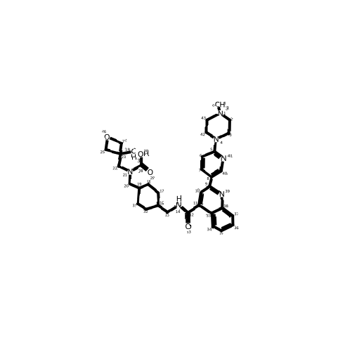 CN1CCN(c2ccc(-c3cc(C(=O)NCC4CCC(CN(CC5(C)COC5)C(=O)O)CC4)c4ccccc4n3)cn2)CC1